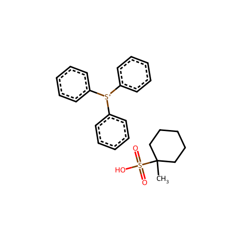 CC1(S(=O)(=O)O)CCCCC1.c1ccc([S+](c2ccccc2)c2ccccc2)cc1